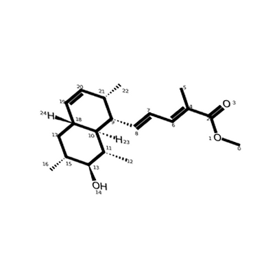 COC(=O)/C(C)=C/C=C/[C@@H]1[C@H]2[C@H](C)[C@@H](O)[C@H](C)C[C@@H]2C=C[C@@H]1C